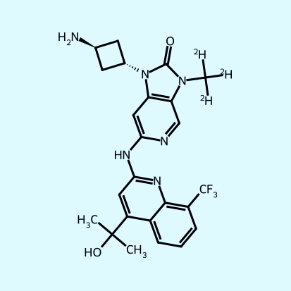 [2H]C([2H])([2H])n1c(=O)n([C@H]2C[C@H](N)C2)c2cc(Nc3cc(C(C)(C)O)c4cccc(C(F)(F)F)c4n3)ncc21